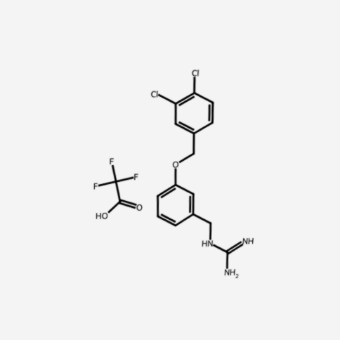 N=C(N)NCc1cccc(OCc2ccc(Cl)c(Cl)c2)c1.O=C(O)C(F)(F)F